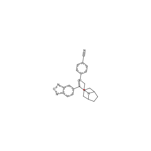 N#Cc1ccc(OCCN2C3CCC2CN(C(=O)c2ccc4nonc4c2)C3)cc1